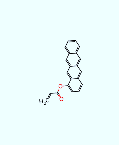 C=CC(=O)Oc1cccc2cc3cc4ccccc4cc3cc12